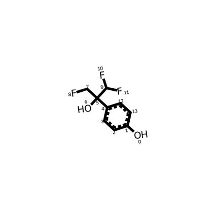 Oc1ccc(C(O)(CF)C(F)F)cc1